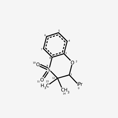 CC(C)C1Oc2ccccc2S(=O)(=O)C1(C)C